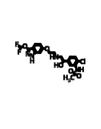 CS(=O)(=O)Nc1cc(C(O)CNCCOc2ccc3c(OC(F)F)n[nH]c3c2)ccc1Cl